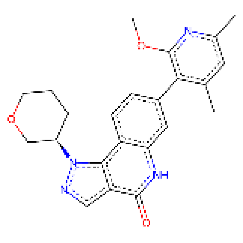 COc1nc(C)cc(C)c1-c1ccc2c(c1)[nH]c(=O)c1cnn([C@@H]3CCCOC3)c12